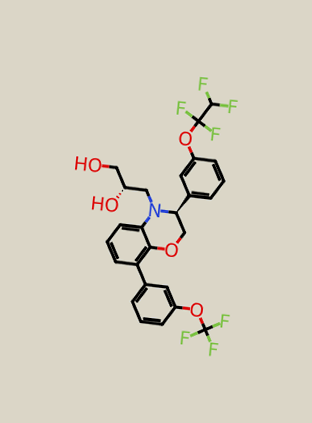 OC[C@@H](O)CN1c2cccc(-c3cccc(OC(F)(F)F)c3)c2OC[C@@H]1c1cccc(OC(F)(F)C(F)F)c1